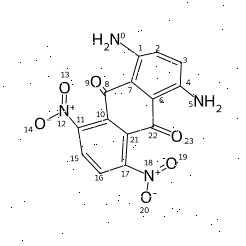 Nc1ccc(N)c2c1C(=O)c1c([N+](=O)[O-])ccc([N+](=O)[O-])c1C2=O